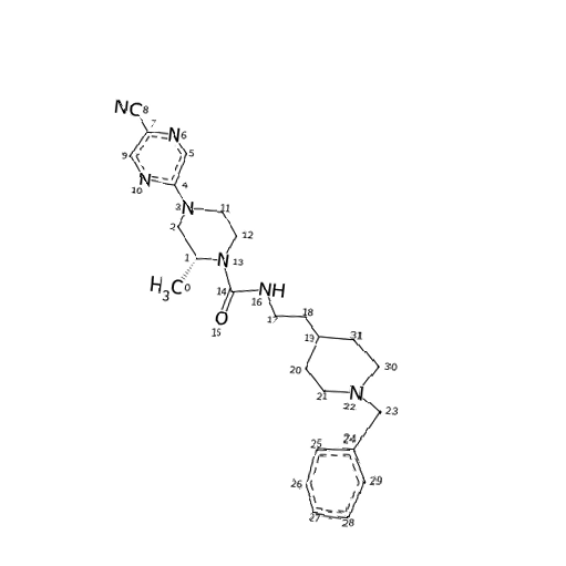 C[C@@H]1CN(c2cnc(C#N)cn2)CCN1C(=O)NCCC1CCN(Cc2ccccc2)CC1